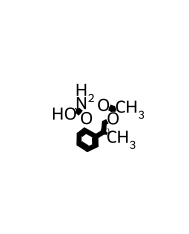 CC(=O)OC[C@@H](C)c1ccccc1.NC(=O)O